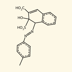 Cc1ccc(N=NC2c3ccccc3C=C(C(=O)O)C2(O)S(=O)(=O)O)cc1